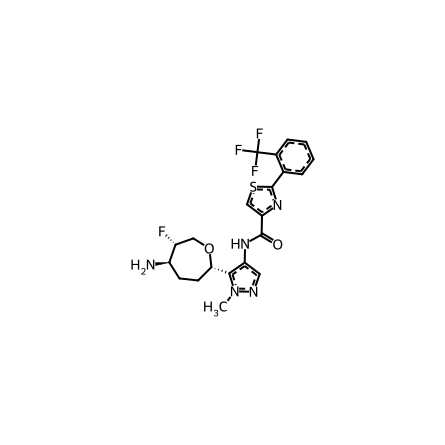 Cn1ncc(NC(=O)c2csc(-c3ccccc3C(F)(F)F)n2)c1[C@@H]1CC[C@@H](N)[C@H](F)CO1